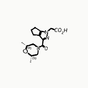 C[C@@H]1CN(C(=O)c2nn(CC(=O)O)c3c2CCC3)C[C@H](C)O1